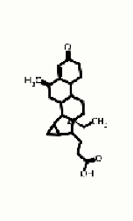 C=C1CC2C(CC[C@]3(CC)C(CCC(=O)O)C4CC4C23)C2CCC(=O)C=C12